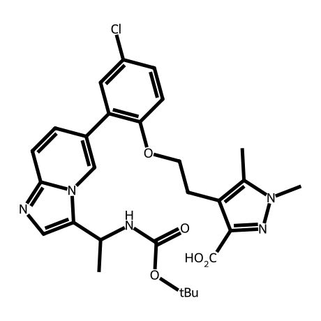 Cc1c(CCOc2ccc(Cl)cc2-c2ccc3ncc(C(C)NC(=O)OC(C)(C)C)n3c2)c(C(=O)O)nn1C